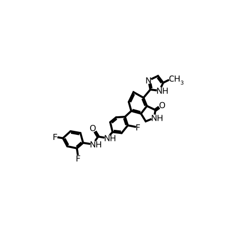 Cc1cnc(-c2ccc(-c3ccc(NC(=O)Nc4ccc(F)cc4F)cc3F)c3c2C(=O)NC3)[nH]1